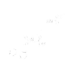 CC(C)(C)OC(=O)NCCCCCCN(CC(=O)O)C(=O)OCC1c2ccccc2-c2ccccc21